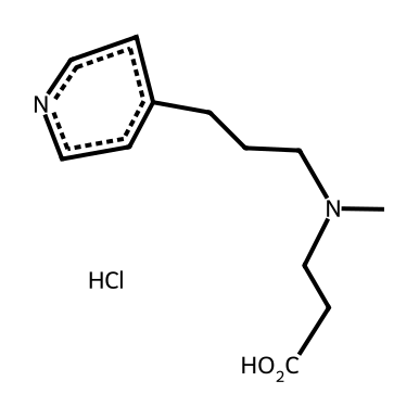 CN(CCCc1ccncc1)CCC(=O)O.Cl